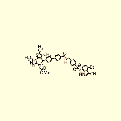 CCc1ccc(NS(=O)(=O)c2ccc(CNC(=O)c3ccc(-c4ccc(C5=N[C@@H](CC(=O)OC)c6nnc(C)n6-c6sc(C)c(C)c65)cc4)cc3)cc2)c2[nH]cc(C#N)c12